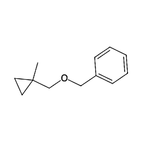 CC1(COCc2ccccc2)CC1